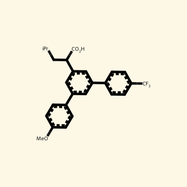 COc1ccc(-c2cc(-c3ccc(C(F)(F)F)cc3)cc(C(CC(C)C)C(=O)O)c2)cc1